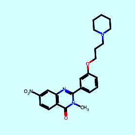 Cn1c(-c2cccc(OCCCN3CCCCC3)c2)nc2cc([N+](=O)[O-])ccc2c1=O